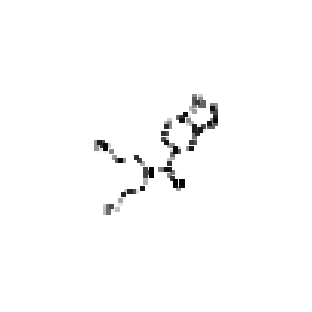 CC(C)CCN(CCC(C)C)C(=O)c1ccn2nccc2c1